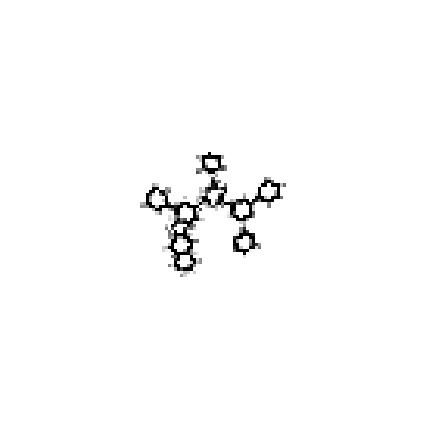 c1ccc(-c2cc(-c3ccccc3)cc(-c3nc(-c4ccccc4)nc(-c4cc(-c5ccccc5)c5oc6cc7ccccc7cc6c5c4)n3)c2)cc1